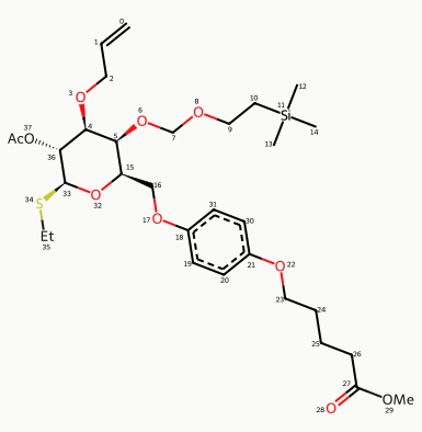 C=CCO[C@H]1[C@@H](OCOCC[Si](C)(C)C)[C@@H](COc2ccc(OCCCCC(=O)OC)cc2)O[C@@H](SCC)[C@@H]1OC(C)=O